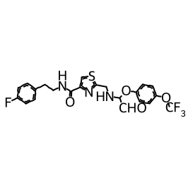 O=CC(NCc1nc(C(=O)NCCc2ccc(F)cc2)cs1)Oc1ccc(OC(F)(F)F)cc1